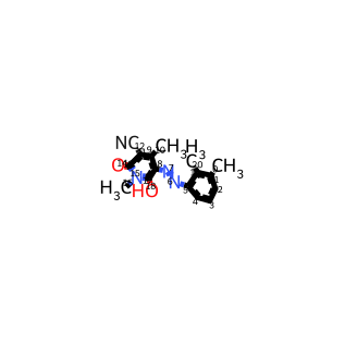 Cc1cccc(N=Nc2c(C)c(C#N)c(=O)n(C)c2O)c1C